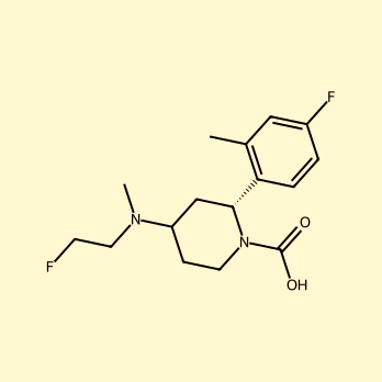 Cc1cc(F)ccc1[C@H]1CC(N(C)CCF)CCN1C(=O)O